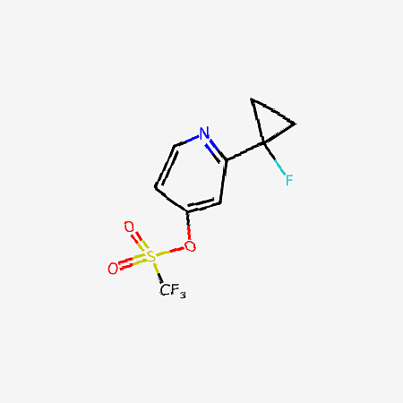 O=S(=O)(Oc1ccnc(C2(F)CC2)c1)C(F)(F)F